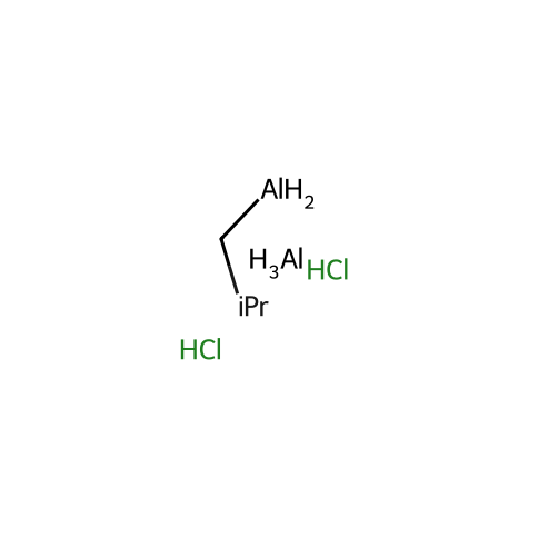 CC(C)[CH2][AlH2].Cl.Cl.[AlH3]